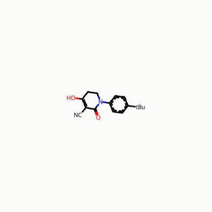 CC(C)(C)c1ccc(N2CCC(O)=C(C#N)C2=O)cc1